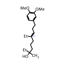 CC/C(=C\CCc1ccc(OC)c(OC)c1)CCCC(C)(O)CC